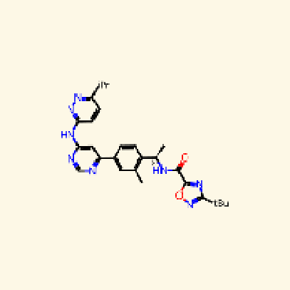 Cc1cc(-c2cc(Nc3ccc(C(C)C)nn3)ncn2)ccc1[C@@H](C)NC(=O)c1nc(C(C)(C)C)no1